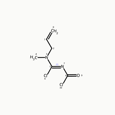 C=CCN(C)/C(Cl)=N/C(=O)Cl